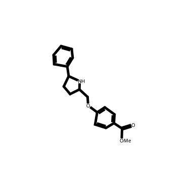 COC(=O)c1ccc(OCC2CCC(c3ccccc3)N2)cc1